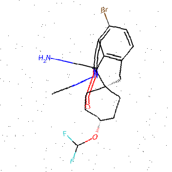 CN1C(=O)C2(N=C1N)c1cc(Br)ccc1C[C@]21CC[C@@H](OC(F)F)CC1